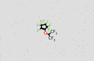 FC1=C(OC(C(F)(F)F)C(F)(F)F)C(F)(F)C(F)(F)C1(F)F